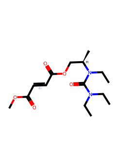 CCN(CC)C(=O)N(CC)[C@H](C)COC(=O)/C=C/C(=O)OC